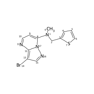 CN(Cc1cccs1)c1ccnc2c(Br)cnn12